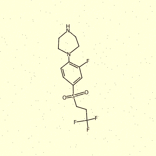 O=S(=O)(CCC(F)(F)F)c1ccc(N2CCNCC2)c(F)c1